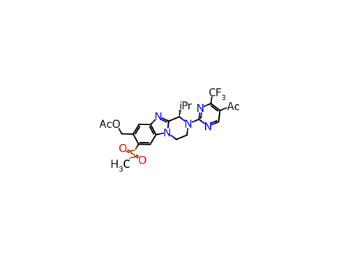 CC(=O)OCc1cc2nc3n(c2cc1S(C)(=O)=O)CCN(c1ncc(C(C)=O)c(C(F)(F)F)n1)[C@@H]3C(C)C